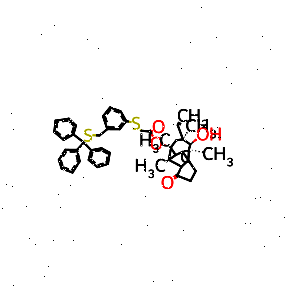 C=C[C@]1(C)C[C@@H](OC(=O)CSc2cccc(CSC(c3ccccc3)(c3ccccc3)c3ccccc3)c2)[C@]2(C)C(C)CCC3(CCC(=O)C32)[C@@H](C)[C@@H]1O